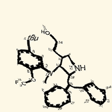 CN(c1cc(C(C)(C)C)ccc1OC(F)(F)F)C1C(CCO)CNC1C(c1ccccc1)c1ccccc1